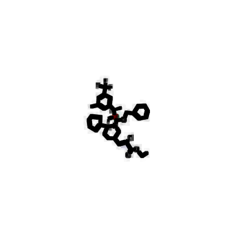 CCOC(=O)/C(Cl)=C/C1CC[C@@](CO[C@H](C)c2cc(C)cc(C(F)(F)F)c2)(c2ccccc2)N(C(=O)OCc2ccccc2)C1